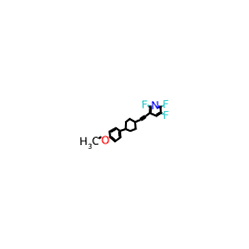 CCOc1ccc(C2CCC(C#Cc3cc(F)c(F)nc3F)CC2)cc1